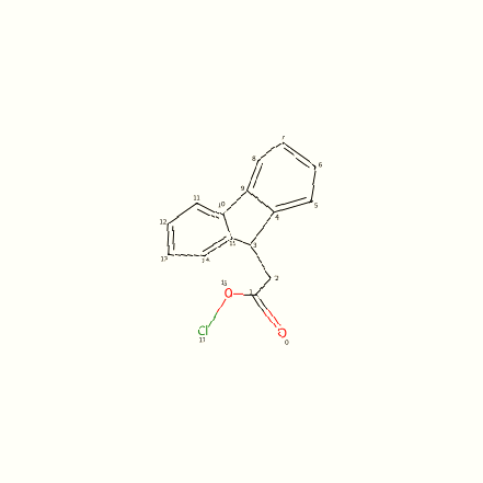 O=C(CC1c2ccccc2-c2ccccc21)OCl